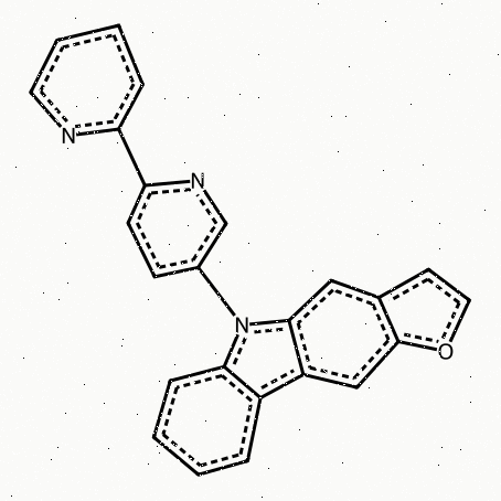 c1ccc(-c2ccc(-n3c4ccccc4c4cc5occc5cc43)cn2)nc1